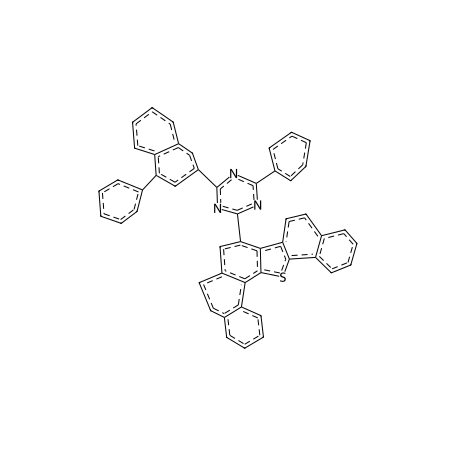 c1ccc(-c2nc(-c3cc(-c4ccccc4)c4ccccc4c3)nc(-c3cc4ccc5ccccc5c4c4sc5c6ccccc6ccc5c34)n2)cc1